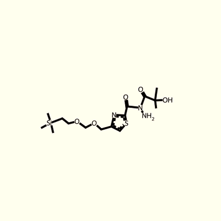 CC(C)(O)C(=O)N(N)C(=O)c1nc(COCOCC[Si](C)(C)C)cs1